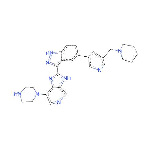 c1ncc(-c2ccc3[nH]nc(-c4nc5c(N6CCNCC6)cncc5[nH]4)c3c2)cc1CN1CCCCC1